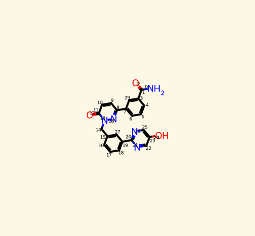 NC(=O)c1cccc(-c2ccc(=O)n(Cc3cccc(-c4ncc(O)cn4)c3)n2)c1